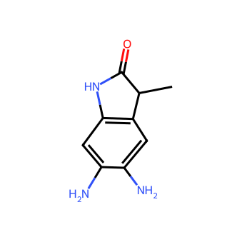 CC1C(=O)Nc2cc(N)c(N)cc21